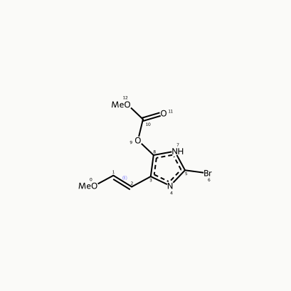 CO/C=C/c1nc(Br)[nH]c1OC(=O)OC